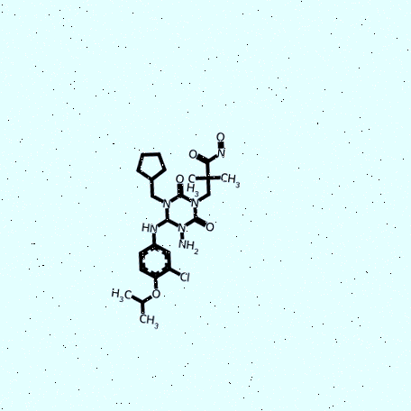 CC(C)Oc1ccc(NC2N(N)C(=O)N(CC(C)(C)C(=O)N=O)C(=O)N2CC2CCCC2)cc1Cl